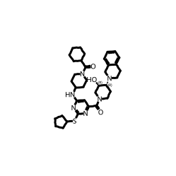 O=C(c1cc(NC2CCN(C(=O)C3CCCCC3)CC2)nc(SC2CCCC2)n1)N1CC[C@@H](N2CCc3ccccc3C2)[C@H](O)C1